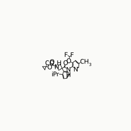 Cc1cnc(NC(=O)C2(c3ccccc3C(C)C)CN(C(=O)OC3(C(=O)O)CC3)C2)c(OC(F)F)c1